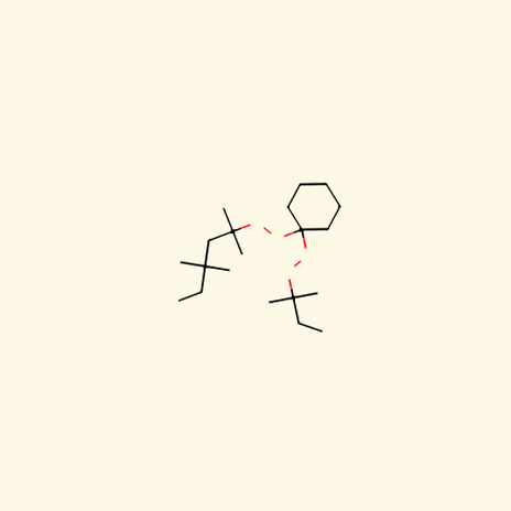 CCC(C)(C)CC(C)(C)OOC1(OOC(C)(C)CC)CCCCC1